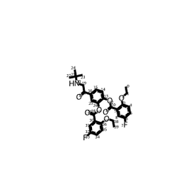 CCOc1ccc(F)cc1C(=O)Oc1ccc(C(=O)CNC(C)(C)C)cc1OC(=O)c1cc(F)ccc1OCC